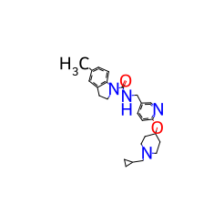 Cc1ccc2c(c1)CCN2C(=O)NCc1ccc(OC2CCN(CC3CC3)CC2)nc1